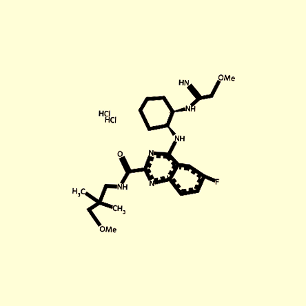 COCC(=N)N[C@@H]1CCCC[C@@H]1Nc1nc(C(=O)NCC(C)(C)COC)nc2ccc(F)cc12.Cl.Cl